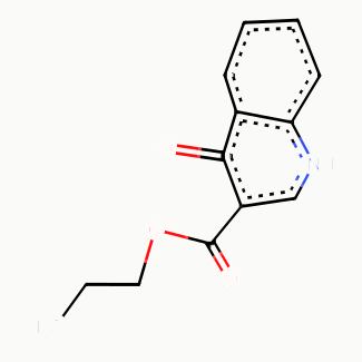 CCCOC(=O)c1c[nH]c2ccccc2c1=O